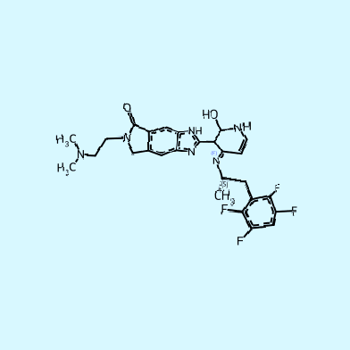 C[C@@H](Cc1c(F)c(F)cc(F)c1F)/N=C1\C=CNC(O)C1c1nc2cc3c(cc2[nH]1)C(=O)N(CCN(C)C)C3